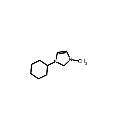 CN1C=CN(C2CCCCC2)C1